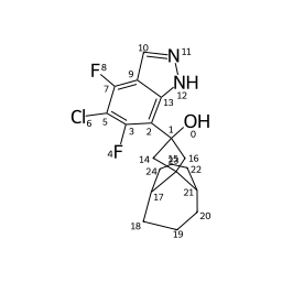 OC1(c2c(F)c(Cl)c(F)c3cn[nH]c23)CC2(C1)C1CCCC2CCC1